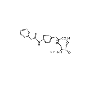 CCCNc1c(N[C@@H](Cc2ccc(NC(=O)Cc3ccccc3)cc2)C(=O)O)c(=O)c1=O